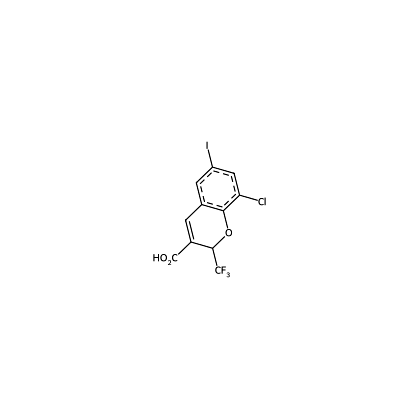 O=C(O)C1=Cc2cc(I)cc(Cl)c2OC1C(F)(F)F